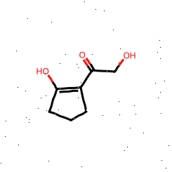 O=C(CO)C1=C(O)CCC1